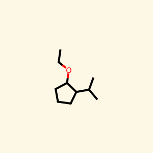 CCOC1CCCC1C(C)C